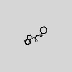 O=C(CNC1CCCCCC1)N1CCc2ccccc21